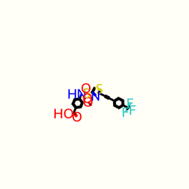 COc1cc(C(=O)O)ccc1NS(=O)(=O)c1csc(C#Cc2ccc(C(F)(F)F)cc2)n1